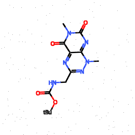 Cn1nc(CNC(=O)OC(C)(C)C)nc2c(=O)n(C)c(=O)nc1-2